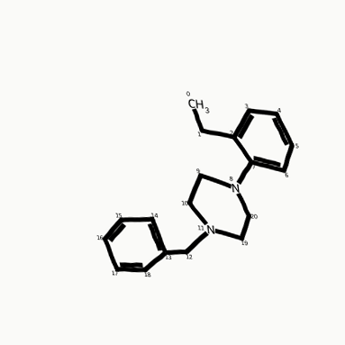 CCc1ccccc1N1CCN(Cc2ccccc2)CC1